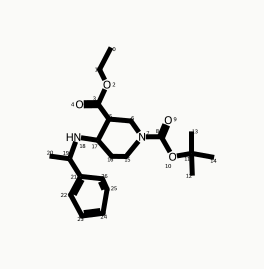 CCOC(=O)C1CN(C(=O)OC(C)(C)C)CCC1NC(C)c1ccccc1